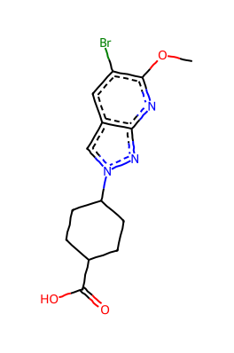 COc1nc2nn(C3CCC(C(=O)O)CC3)cc2cc1Br